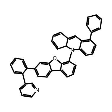 C1=CC2=Cc3c(-c4ccccc4)cccc3N(c3cccc4c3oc3cc(-c5ccccc5-c5cccnc5)ccc34)C2C=C1